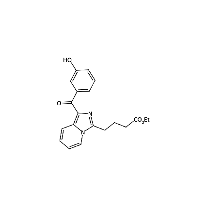 CCOC(=O)CCCc1nc(C(=O)c2cccc(O)c2)c2ccccn12